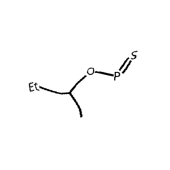 CCC(C)OP=S